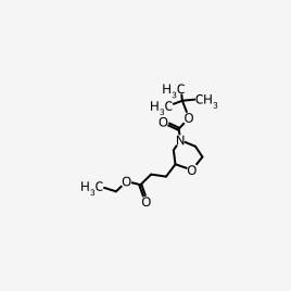 CCOC(=O)CCC1CN(C(=O)OC(C)(C)C)CCO1